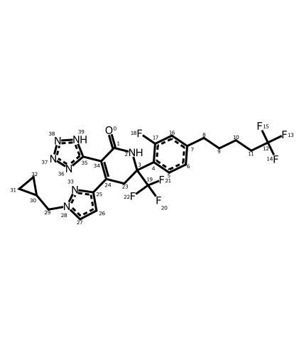 O=C1NC(c2ccc(CCCCC(F)(F)F)cc2F)(C(F)(F)F)CC(c2ccn(CC3CC3)n2)=C1c1nnn[nH]1